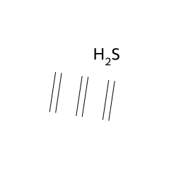 C=C.C=C.C=C.S